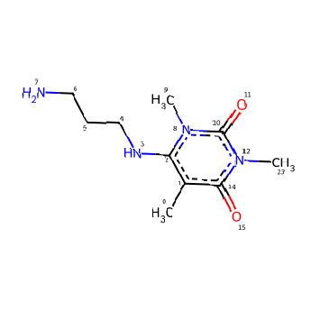 Cc1c(NCCCN)n(C)c(=O)n(C)c1=O